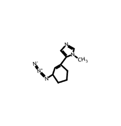 Cn1cncc1C1=CC(N=[N+]=[N-])CCC1